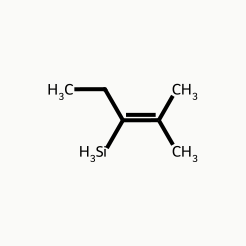 CCC([SiH3])=C(C)C